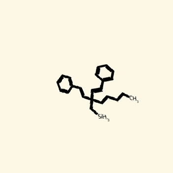 CCCCCC(C=Cc1ccccc1)(C=Cc1ccccc1)C[SiH3]